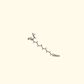 CCCCCCCCCCCCCCCCCCN(C=S)C(C)C